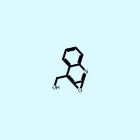 OCc1c2c(nc3ccccc13)O2